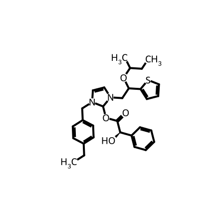 CCc1ccc(CN2C=CN(CC(OC(C)CC)c3cccs3)C2OC(=O)[C@H](O)c2ccccc2)cc1